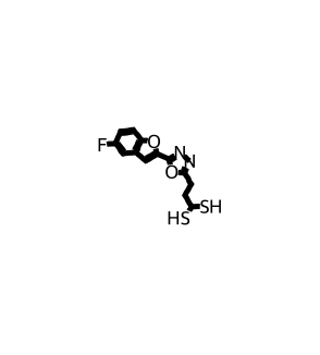 Fc1ccc2oc(-c3nnc(CCC(S)S)o3)cc2c1